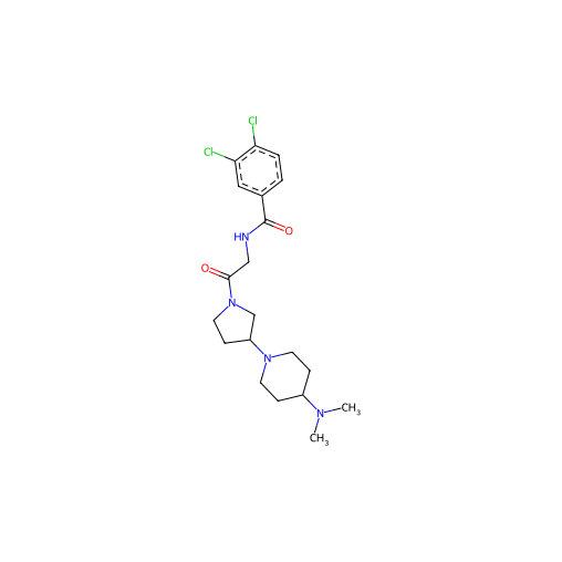 CN(C)C1CCN(C2CCN(C(=O)CNC(=O)c3ccc(Cl)c(Cl)c3)C2)CC1